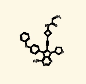 C=CC(=O)NC1CC(C#Cc2c(-c3ccc(Oc4ccccc4)cc3)c3c(N)ncnc3n2C2CCOC2)C1